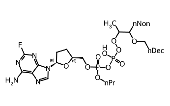 CCCCCCCCCCCOC(CCCCCCCCC)C(C)OOP(=O)(O)OP(=O)(OCCC)OC[C@@H]1CC[C@H](n2cnc3c(N)nc(F)nc32)O1